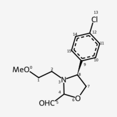 COCCN1C(C=O)OC[C@@H]1c1ccc(Cl)cc1